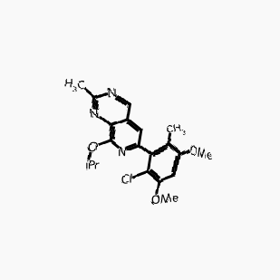 COc1cc(OC)c(Cl)c(-c2cc3cnc(C)nc3c(OC(C)C)n2)c1C